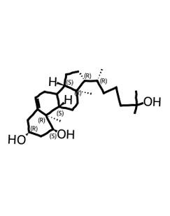 C[C@H](CCCC(C)(C)O)[C@H]1CC[C@H]2C3CC=C4C[C@@H](O)C[C@H](O)[C@]4(C)[C@H]3CC[C@]12C